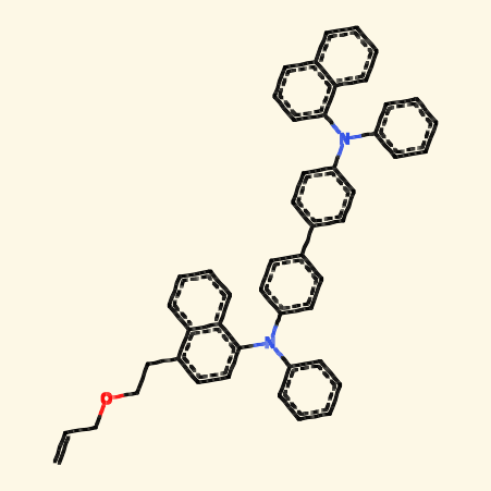 C=CCOCCc1ccc(N(c2ccccc2)c2ccc(-c3ccc(N(c4ccccc4)c4cccc5ccccc45)cc3)cc2)c2ccccc12